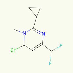 CN1C(C2CC2)=NC(C(F)F)=CC1Cl